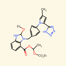 CCOC(=O)OC(C)OC(=O)c1cccc2c1N(Cc1ccc(-n3cc(C)cc3-c3nnn[nH]3)cc1)C(OCC)N2